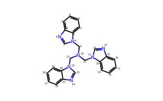 c1ccc2c(c1)ncn2CN(Cn1cnc2ccccc21)Cn1cnc2ccccc21